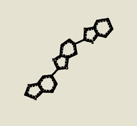 c1ccc2sc(-c3ccc4nc(-c5ccc6ncsc6c5)oc4c3)nc2c1